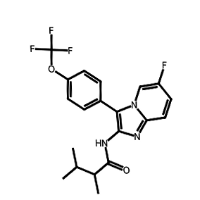 CC(C)C(C)C(=O)Nc1nc2ccc(F)cn2c1-c1ccc(OC(F)(F)F)cc1